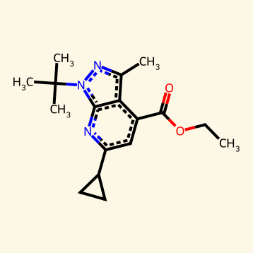 CCOC(=O)c1cc(C2CC2)nc2c1c(C)nn2C(C)(C)C